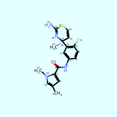 Cc1cc(C(=O)Nc2ccc(F)c([C@]3(C)C=CSC(N)=N3)c2)n(C)c1